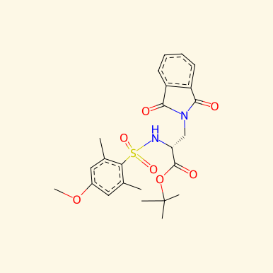 COc1cc(C)c(S(=O)(=O)N[C@H](CN2C(=O)c3ccccc3C2=O)C(=O)OC(C)(C)C)c(C)c1